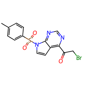 Cc1ccc(S(=O)(=O)n2ccc3c(C(=O)CBr)ncnc32)cc1